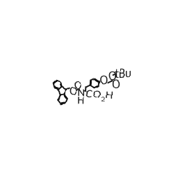 CC(C)(C)OC(=O)COc1ccc(CC(NC(=O)OCC2c3ccccc3-c3ccccc32)C(=O)O)cc1